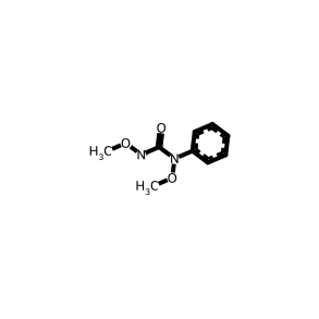 CO[N]C(=O)N(OC)c1ccccc1